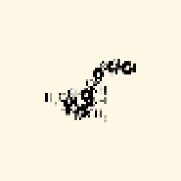 Cc1cnc(Nc2cc(C)n(C)n2)nc1-c1c[nH]c2c(NC(=O)CN3CC[C@H](Oc4cnc(-c5ccncc5)nc4)C3)cccc12